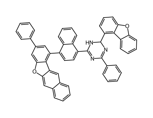 c1ccc(C2=NC(c3cccc4oc5ccccc5c34)NC(c3ccc(-c4cc(-c5ccccc5)cc5oc6cc7ccccc7cc6c45)c4ccccc34)=N2)cc1